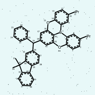 CC(C)c1ccc2c(c1)B1c3cc(C(C)C)ccc3Oc3cc(C(c4ccccc4)c4ccc5c(c4)C(C)(C)c4ccccc4-5)cc(c31)O2